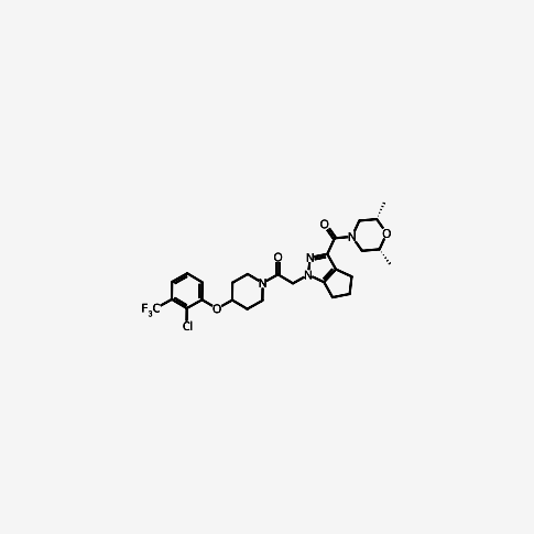 C[C@@H]1CN(C(=O)c2nn(CC(=O)N3CCC(Oc4cccc(C(F)(F)F)c4Cl)CC3)c3c2CCC3)C[C@H](C)O1